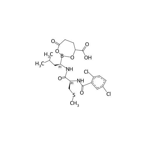 CSC[C@H](NC(=O)c1cc(Cl)ccc1Cl)C(=O)N[C@@H](CC(C)C)B1OC(=O)CCC(C(=O)O)O1